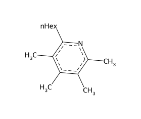 CCCCCCc1nc(C)c(C)c(C)c1C